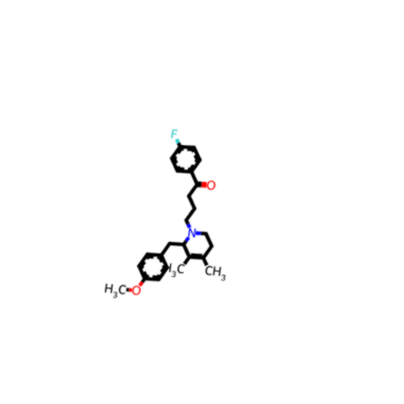 COc1ccc(CC2C(C)=C(C)CCN2CCCC(=O)c2ccc(F)cc2)cc1